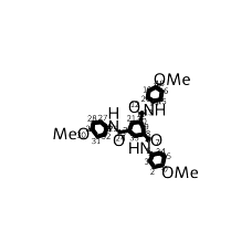 COc1ccc(NC(=O)c2cc(C(=O)Nc3ccc(OC)cc3)cc(C(=O)Nc3ccc(OC)cc3)c2)cc1